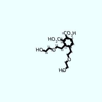 O=C(O)c1ccc(CCOCCO)c(CCOCCO)c1C(=O)O